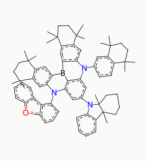 CC1(C)CCC(C)(C)c2cc(N3c4cc5c(cc4B4c6cc7c(cc6N(c6cccc8oc9ccccc9c68)c6cc(N8c9ccccc9C9(C)CCCCC89C)cc3c64)C(C)(C)CCC7(C)C)C(C)(C)CCC5(C)C)ccc21